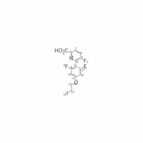 O=C(O)c1ccc(F)c(-c2c(F)cc(OCCI)cc2F)n1